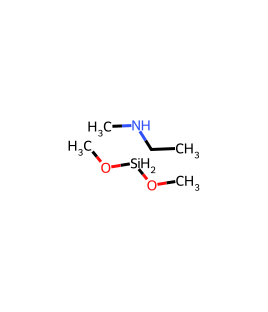 CCNC.CO[SiH2]OC